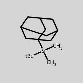 CC(C)(C)[Si](C)(C)C12CC3CC(CC(C3)C1)C2